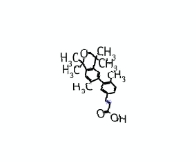 Cc1ccc(/C=C/C(=O)O)cc1-c1cc2c(cc1C)C(C)(C)OCC2(C)C